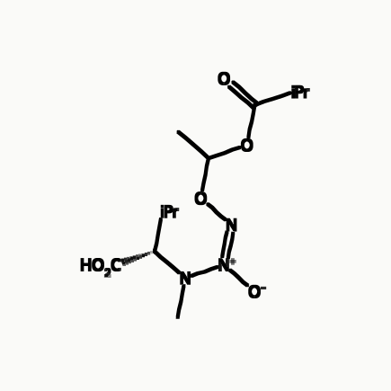 CC(O/N=[N+](/[O-])N(C)[C@H](C(=O)O)C(C)C)OC(=O)C(C)C